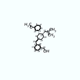 COc1cccc([C@H]2C/C(=C/c3cccc(CO)c3)CC[C@@H]2CN(C)C)c1